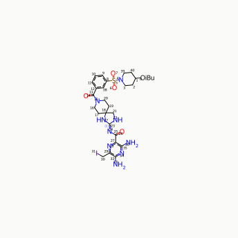 CC(C)COC1CCN(S(=O)(=O)c2cccc(C(=O)N3CCC4(CC3)CN/C(=N\C(=O)c3nc(CI)c(N)nc3N)N4)c2)CC1